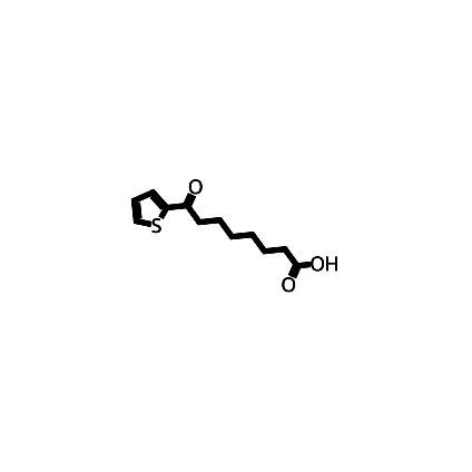 O=C(O)CCCCCCC(=O)c1cccs1